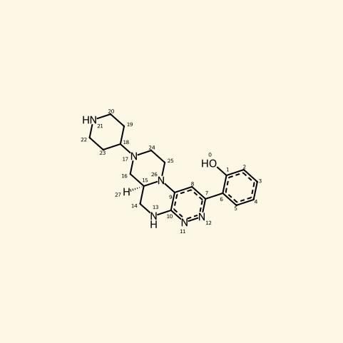 Oc1ccccc1-c1cc2c(nn1)NC[C@H]1CN(C3CCNCC3)CCN21